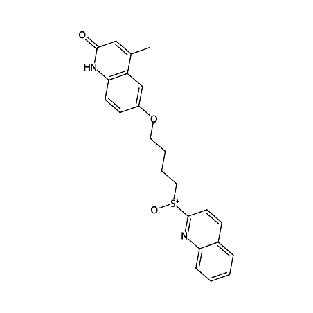 Cc1cc(=O)[nH]c2ccc(OCCCC[S+]([O-])c3ccc4ccccc4n3)cc12